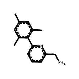 Cc1cc(C)c(-c2cccc(CP)n2)c(C)c1